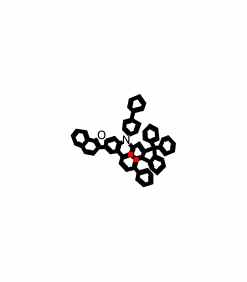 c1ccc(-c2ccc(-c3cc4c(cc3N(c3ccc(-c5ccccc5)cc3)c3ccc5c(c3)C(c3ccccc3)(c3ccccc3)c3ccccc3-5)oc3c5ccccc5ccc43)cc2)cc1